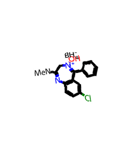 CNC1=Nc2ccc(Cl)cc2C(c2ccccc2)=[N+](O)C1.[BH4-]